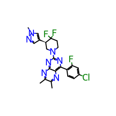 Cc1nc2nc(N3CCC(F)(F)[C@H](c4cnn(C)c4)C3)nc(-c3ccc(Cl)cc3F)c2nc1C